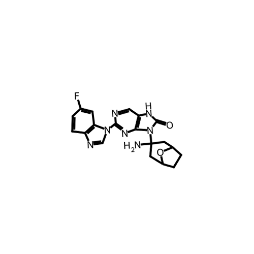 NC1(n2c(=O)[nH]c3cnc(-n4cnc5ccc(F)cc54)nc32)CC2CCC(C1)O2